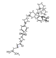 CN(C)C/C=C/C(=O)N1CC(S(=O)(=O)c2ccc(N3CC(CN4CCC(C(CN5CCCC5)(c5cccc(F)c5)[C@H]5CCC[C@@H]5NC(=O)O)CC4)C3)cc2)C1